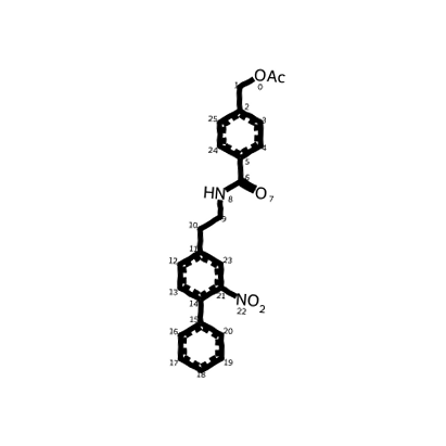 CC(=O)OCc1ccc(C(=O)NCCc2ccc(-c3ccccc3)c([N+](=O)[O-])c2)cc1